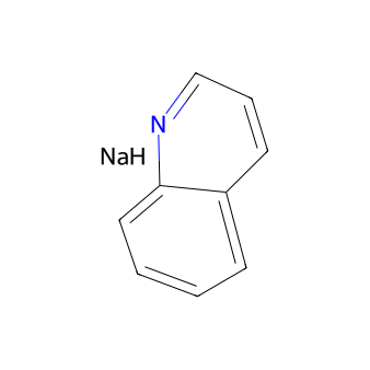 [NaH].c1ccc2ncccc2c1